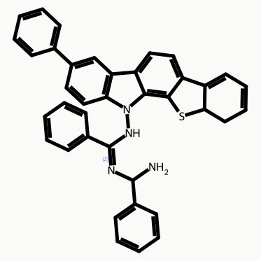 NC(/N=C(\Nn1c2ccc(-c3ccccc3)cc2c2ccc3c(c21)SC1CC=CC=C31)c1ccccc1)c1ccccc1